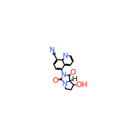 N#Cc1ccc(N2C(=O)[C@@H]3C(O)CCN3C2=O)c2cccnc12